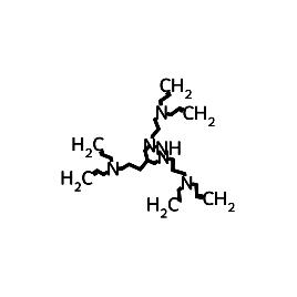 C=CCN(CC=C)CCCC1CN(CCCN(CC=C)CC=C)NN(CCCN(CC=C)CC=C)C1